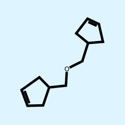 C1=CCC(COCC2CC=CC2)C1